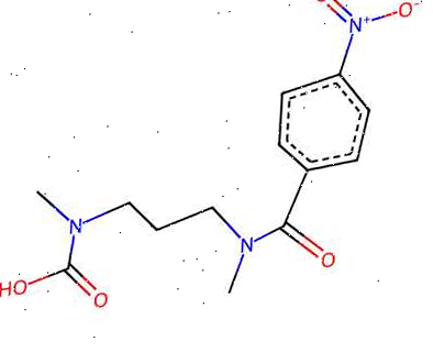 CN(CCCN(C)C(=O)c1ccc([N+](=O)[O-])cc1)C(=O)O